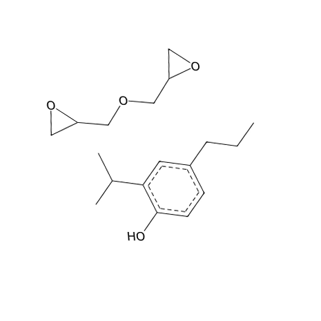 C(OCC1CO1)C1CO1.CCCc1ccc(O)c(C(C)C)c1